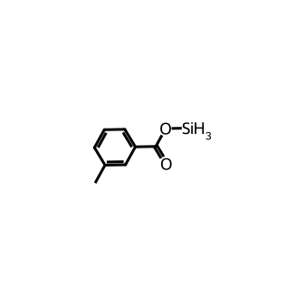 Cc1cccc(C(=O)O[SiH3])c1